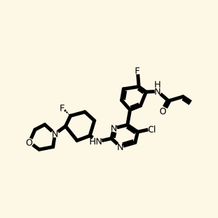 C=CC(=O)Nc1cc(-c2nc(NC3CC[C@@H](F)C(N4CCOCC4)C3)ncc2Cl)ccc1F